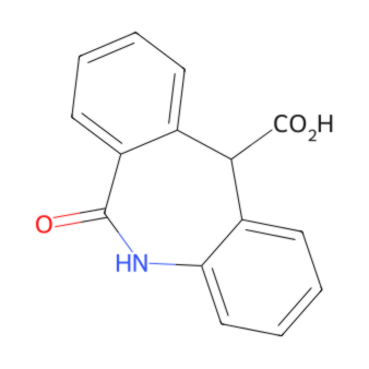 O=C1Nc2ccccc2C(C(=O)O)c2ccccc21